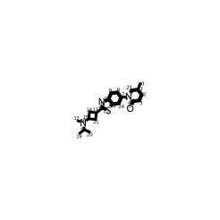 Cc1ccc(=O)n(-c2ccc3nc(C4CC(N(C)C(C)C)C4)sc3c2)c1